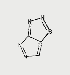 B1=NN=C2N=NC=C12